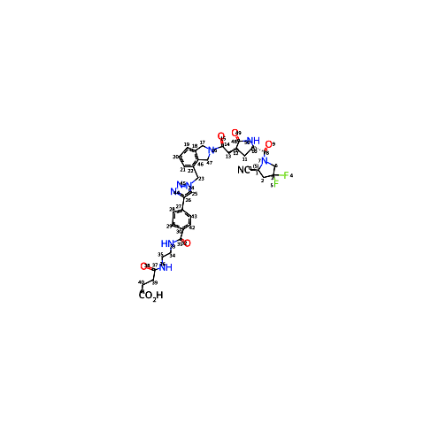 N#C[C@@H]1CC(F)(F)CN1C(=O)[C@@H]1C[C@@H](CC(=O)N2Cc3cccc(Cn4cc(-c5ccc(C(=O)NCCNC(=O)CCC(=O)O)cc5)nn4)c3C2)C(=O)N1